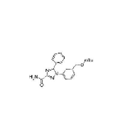 CCCCOCc1cccc(-n2nc(C(N)=O)nc2-c2ccccc2)c1